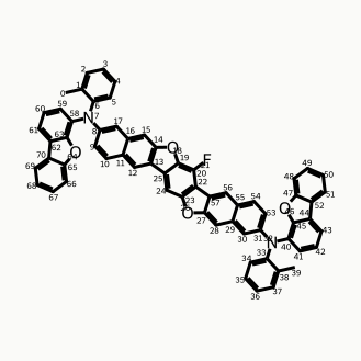 Cc1ccccc1N(c1ccc2cc3c(cc2c1)oc1c(F)c2c(cc13)oc1cc3cc(N(c4ccccc4C)c4cccc5c4oc4ccccc45)ccc3cc12)c1cccc2c1oc1ccccc12